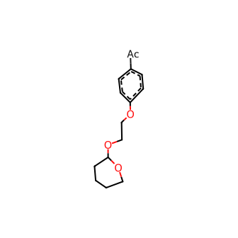 CC(=O)c1ccc(OCCOC2CCCCO2)cc1